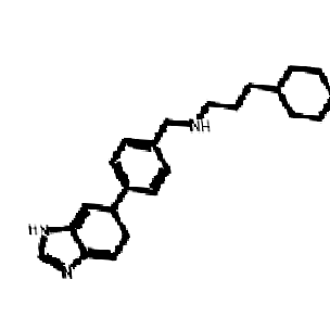 C1=c2nc[nH]c2=CC(c2ccc(CNCCCC3CCCCC3)cc2)C1